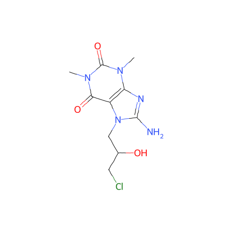 Cn1c(=O)c2c(nc(N)n2CC(O)CCl)n(C)c1=O